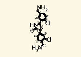 NCc1ccc(Cl)c(-c2nn(-c3ccc(CN)c(Cl)c3)c(=O)[nH]2)c1